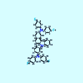 Fc1ccc(N(c2ccc(F)cc2)c2ccc3cc4c5ccc(N(c6ccc(F)cc6)c6ccc(F)cc6)cc5n5c6ccccc6c(c3c2)c45)cc1